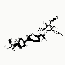 CC(C)C[C@H](N[C@@H](c1ccc(-c2ccc(S(C)(=O)=O)cc2)cn1)C(F)(F)F)C(=O)NCC#N